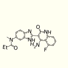 CCC(=O)N(C)c1ccc2nc(-c3c(N)c4c(F)cccc4[nH]c3=O)[nH]c2c1